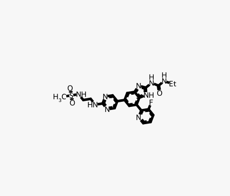 CCNC(=O)Nc1nc2cc(-c3cnc(NCCNS(C)(=O)=O)nc3)cc(-c3ncccc3F)c2[nH]1